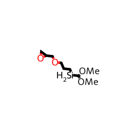 COC(OC)[SiH2]CCCOCC1CO1